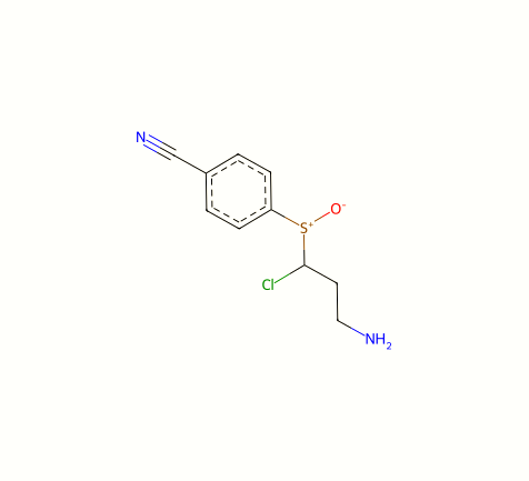 N#Cc1ccc([S+]([O-])C(Cl)CCN)cc1